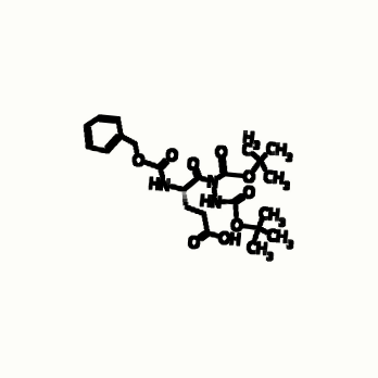 CC(C)(C)OC(=O)NN(C(=O)OC(C)(C)C)C(=O)[C@H](CCC(=O)O)NC(=O)OCc1ccccc1